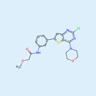 COCC(=O)Nc1cccc(-c2cc3nc(Cl)nc(N4CCOCC4)c3s2)c1